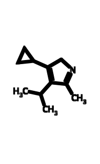 CC1=NCC(C2CC2)=C1C(C)C